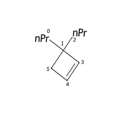 CCCC1(CCC)C=CC1